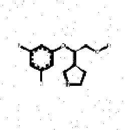 CCOC[C@H](Oc1cc(F)cc(Cl)c1)[C@H]1CCNC1